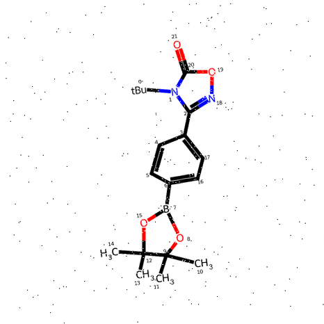 CC(C)(C)n1c(-c2ccc(B3OC(C)(C)C(C)(C)O3)cc2)noc1=O